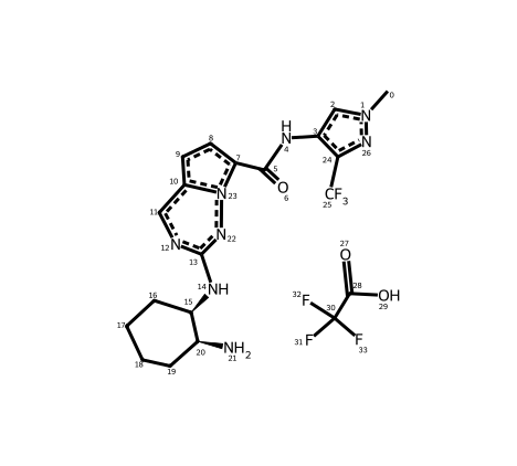 Cn1cc(NC(=O)c2ccc3cnc(N[C@@H]4CCCC[C@@H]4N)nn23)c(C(F)(F)F)n1.O=C(O)C(F)(F)F